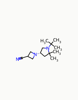 CC(C)(C)N1C[C@@H](N2CC(C#N)C2)CC1(C)C